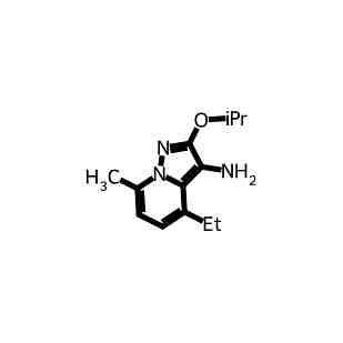 CCc1ccc(C)n2nc(OC(C)C)c(N)c12